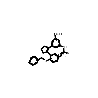 CCOC(=O)c1cc(NC(=O)CC)cc(C2=C(c3cc(C(F)(F)F)ccc3OCc3ccccc3)CCC2)c1